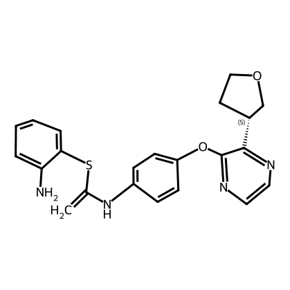 C=C(Nc1ccc(Oc2nccnc2[C@@H]2CCOC2)cc1)Sc1ccccc1N